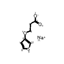 O=C([O-])CCOc1ccsc1.[Na+]